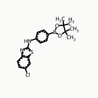 CC1(C)OB(c2ccc(Nc3nc4ccc(Cl)cc4s3)cc2)OC1(C)C